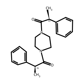 C[C@H](C(=O)N1CCN(C(=O)[C@@H](C)c2ccccc2)CC1)c1ccccc1